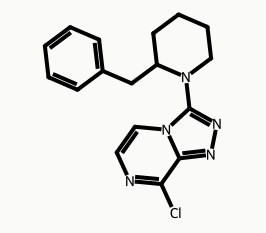 Clc1nccn2c(N3CCCCC3Cc3ccccc3)nnc12